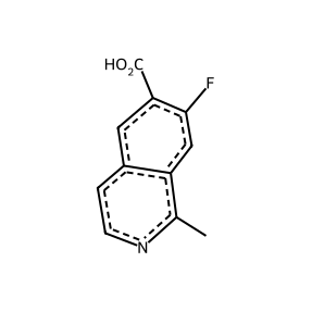 Cc1nccc2cc(C(=O)O)c(F)cc12